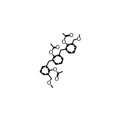 COCc1cccc(Cc2cccc(Cc3cccc(COC)c3OC(C)=O)c2OC(C)=O)c1OC(C)=O